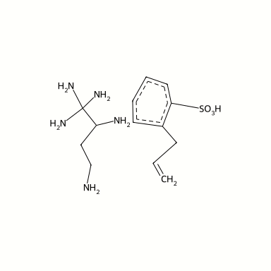 C=CCc1ccccc1S(=O)(=O)O.NCCC(N)C(N)(N)N